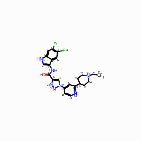 O=C(Nc1c[nH]c2cc(F)c(F)cc12)c1cn(-c2ccnc(C3CCN(CC(F)(F)F)CC3)c2)nn1